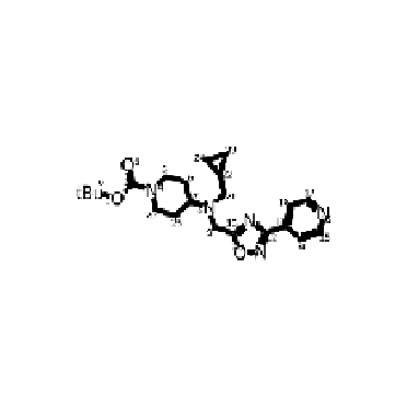 CC(C)(C)OC(=O)N1CCC(N(Cc2nc(-c3ccncc3)no2)CC2CC2)CC1